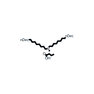 CCCC(=O)O.CCCCCCCCCCCCCCCCCCN(C)CCCCCCCCCCCCCCCCCC